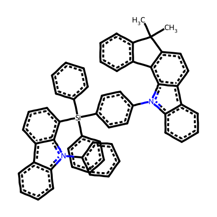 CC1(C)c2ccccc2-c2c1ccc1c3ccccc3n(-c3ccc([Si](c4ccccc4)(c4ccccc4)c4cccc5c6ccccc6n(-c6ccccc6)c45)cc3)c21